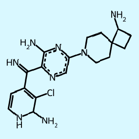 N=C(C1=C(Cl)C(N)NC=C1)c1ncc(N2CCC3(CCC3N)CC2)nc1N